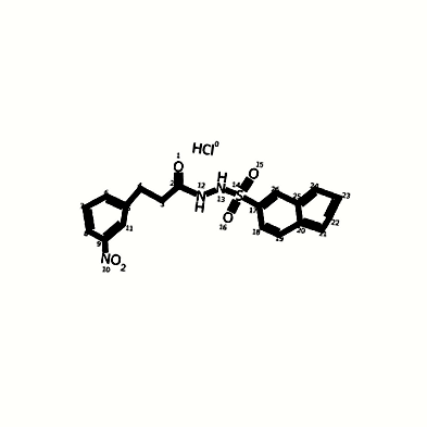 Cl.O=C(CCc1cccc([N+](=O)[O-])c1)NNS(=O)(=O)c1ccc2ccccc2c1